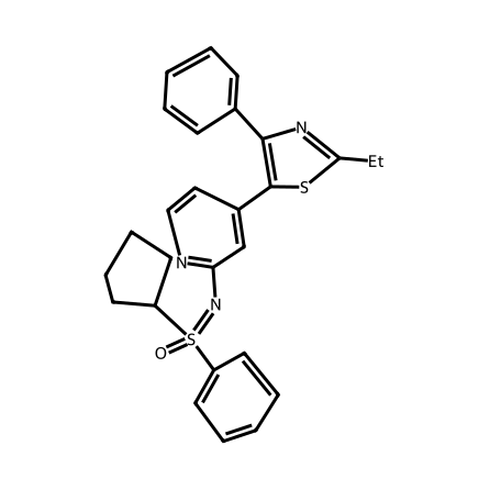 CCc1nc(-c2ccccc2)c(-c2ccnc(N=S(=O)(c3ccccc3)C3CCCC3)c2)s1